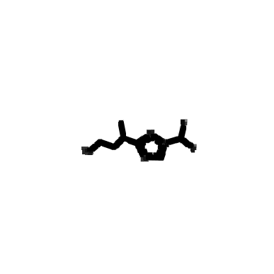 CC(CCS)c1ncn(C(F)F)n1